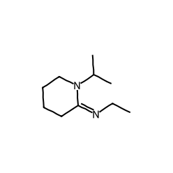 CC/N=C1/CCCCN1C(C)C